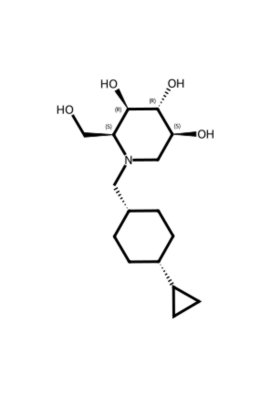 OC[C@H]1[C@@H](O)[C@H](O)[C@@H](O)CN1C[C@H]1CC[C@@H](C2CC2)CC1